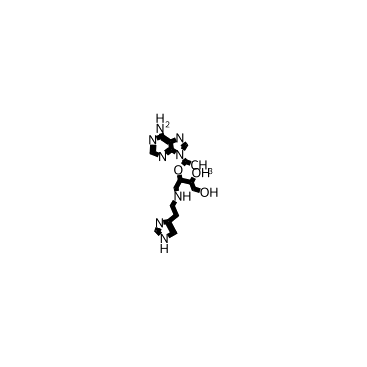 CC(OC(CNCCc1c[nH]cn1)C(O)CO)n1cnc2c(N)ncnc21